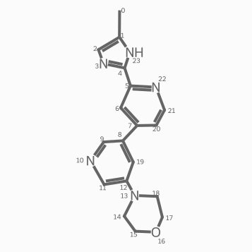 Cc1cnc(-c2cc(-c3cncc(N4CCOCC4)c3)ccn2)[nH]1